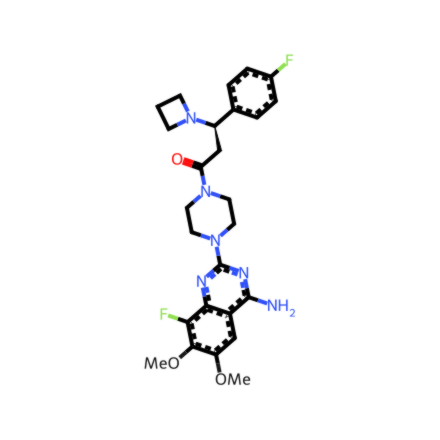 COc1cc2c(N)nc(N3CCN(C(=O)C[C@H](c4ccc(F)cc4)N4CCC4)CC3)nc2c(F)c1OC